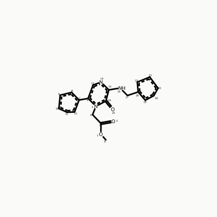 COC(=O)Cn1c(-c2ccccc2)cnc(NCc2ccccc2)c1=O